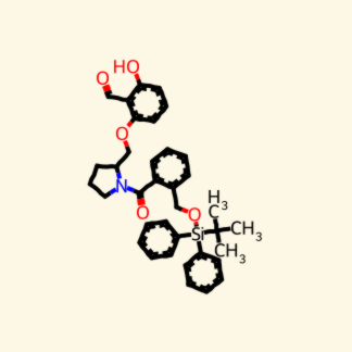 CC(C)(C)[Si](OCc1ccccc1C(=O)N1CCCC1COc1cccc(O)c1C=O)(c1ccccc1)c1ccccc1